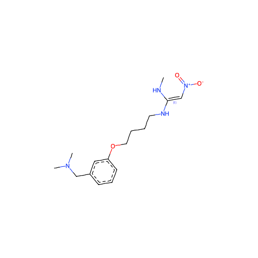 CN/C(=C\[N+](=O)[O-])NCCCCOc1cccc(CN(C)C)c1